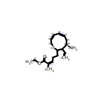 C=CC1C(CC/C=C(/C)C(=O)OCC)SC/C=C\C=C/C[C@H]1N